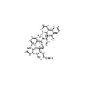 Cc1c(NC(=O)c2ccccc2-c2ccccc2)ccnc1-c1cccc2c1C(C(=O)N(CCC=O)CC(F)(F)F)c1ccccc1-2